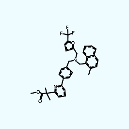 COC(=O)C(C)(C)c1cccc(-c2ccc(CN(Cc3ccc(C(F)(F)F)o3)Cc3c(C)ccc4ccccc34)cc2)n1